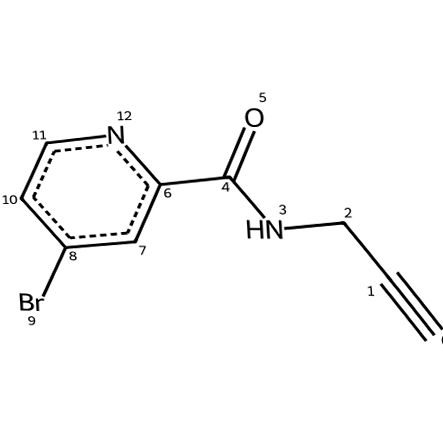 C#CCNC(=O)c1cc(Br)ccn1